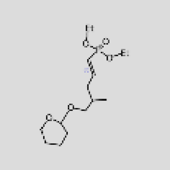 CCOP(=O)(/C=C/CC(C)COC1CCCCO1)OCC